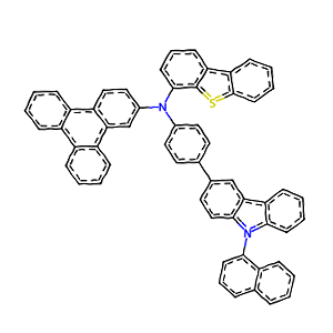 c1ccc2c(-n3c4ccccc4c4cc(-c5ccc(N(c6ccc7c8ccccc8c8ccccc8c7c6)c6cccc7c6sc6ccccc67)cc5)ccc43)cccc2c1